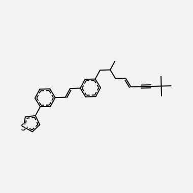 CC(C/C=C/C#CC(C)(C)C)Cc1cccc(/C=C/c2cccc(-c3ccsc3)c2)c1